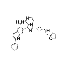 Nc1nccn2c1c(-c1ccc3ccc(-c4ccccc4)nc3c1)nc2[C@H]1C[C@@H](NCc2ccco2)C1